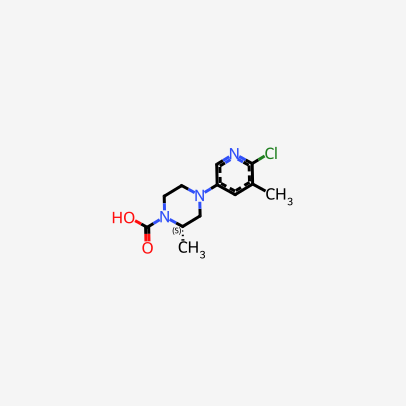 Cc1cc(N2CCN(C(=O)O)[C@@H](C)C2)cnc1Cl